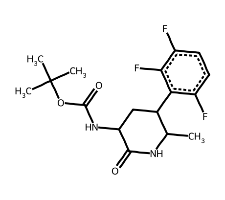 CC1NC(=O)C(NC(=O)OC(C)(C)C)CC1c1c(F)ccc(F)c1F